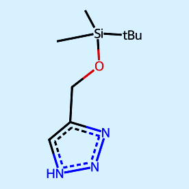 CC(C)(C)[Si](C)(C)OCc1c[nH]nn1